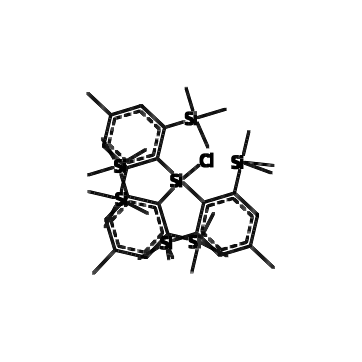 Cc1cc([Si](C)(C)C)c([Si](Cl)(c2c([Si](C)(C)C)cc(C)cc2[Si](C)(C)C)c2c([Si](C)(C)C)cc(C)cc2[Si](C)(C)C)c([Si](C)(C)C)c1